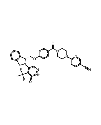 N#Cc1ccc(N2CCN(C(=O)c3ccc(OC[C@H]4c5ccccc5CN4c4cn[nH]c(=O)c4C(F)(F)F)cc3)CC2)nc1